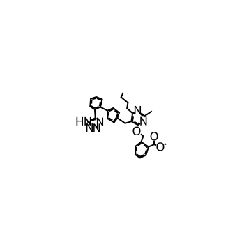 CCCCc1nc(C)nc(OCc2ccccc2C(=O)OC)c1Cc1ccc(-c2ccccc2-c2nnn[nH]2)cc1